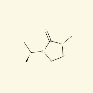 CC(C)[C@@H](C)N1CCN(C)C1=O